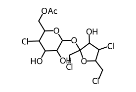 CC(=O)OCC1OC(OC2(CCl)OC(CCl)C(Cl)C2O)C(O)C(O)C1Cl